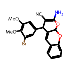 COc1cc(C2C3=Cc4ccccc4OC3OC(N)=C2C#N)cc(Br)c1OC